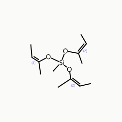 C/C=C(/C)O[Si](C)(O/C(C)=C\C)O/C(C)=C\C